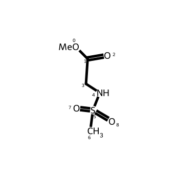 COC(=O)CNS(C)(=O)=O